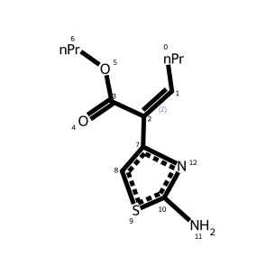 CCC/C=C(\C(=O)OCCC)c1csc(N)n1